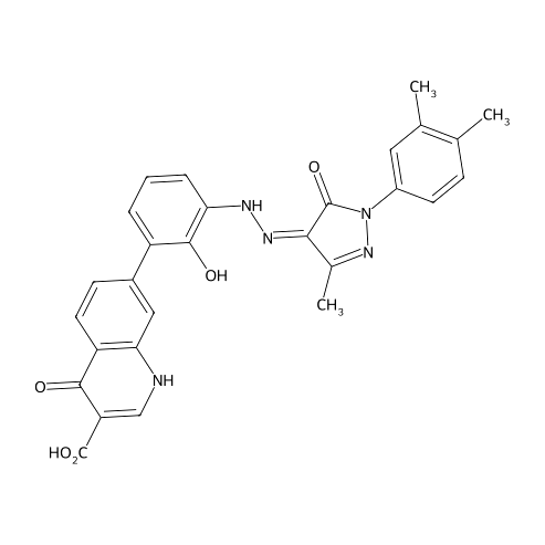 CC1=NN(c2ccc(C)c(C)c2)C(=O)C1=NNc1cccc(-c2ccc3c(=O)c(C(=O)O)c[nH]c3c2)c1O